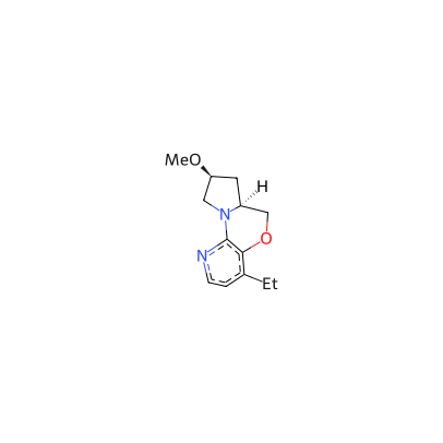 CCc1ccnc2c1OC[C@@H]1C[C@H](OC)CN21